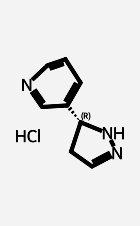 C1=NN[C@@H](c2cccnc2)C1.Cl